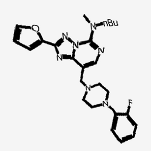 CCCCN(C)c1ncc(CN2CCN(c3ccccc3F)CC2)c2nc(-c3ccco3)nn12